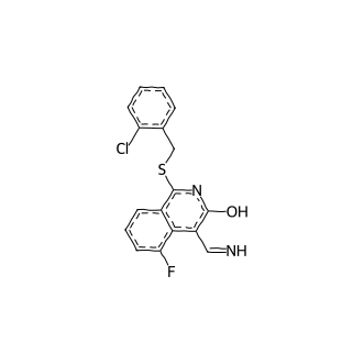 N=Cc1c(O)nc(SCc2ccccc2Cl)c2cccc(F)c12